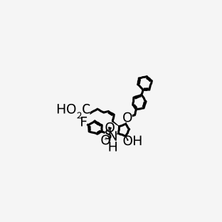 O=C(O)CCC/C=C\C[C@@H]1[C@@H](NS(=O)(=O)c2ccc(F)cc2)[C@H](O)C[C@H]1OCc1ccc(-c2ccccc2)cc1